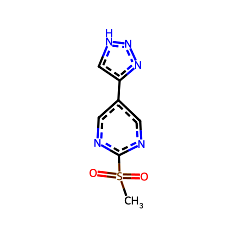 CS(=O)(=O)c1ncc(-c2c[nH]nn2)cn1